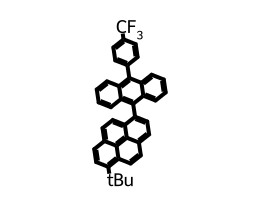 CC(C)(C)c1ccc2ccc3c(-c4c5ccccc5c(-c5ccc(C(F)(F)F)cc5)c5ccccc45)ccc4ccc1c2c43